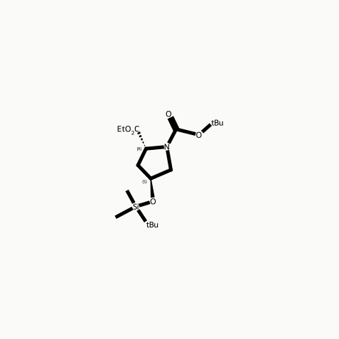 CCOC(=O)[C@H]1C[C@H](O[Si](C)(C)C(C)(C)C)CN1C(=O)OC(C)(C)C